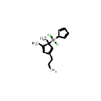 CCCC1=C[C](C)([Hf]([Cl])([Cl])[CH]2C=CC=C2)C(C)=C1